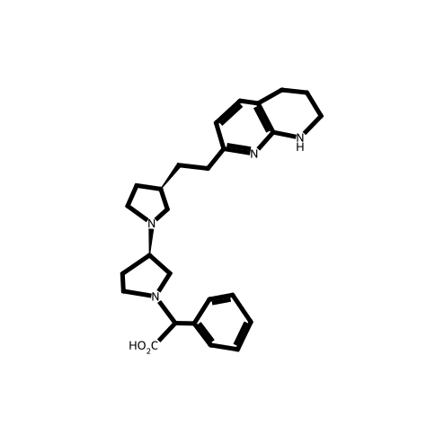 O=C(O)C(c1ccccc1)N1CC[C@@H](N2CC[C@@H](CCc3ccc4c(n3)NCCC4)C2)C1